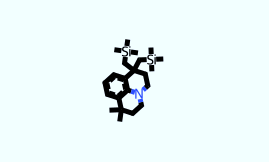 CC1(C)CCN2CCC(C[Si](C)(C)C)(C[Si](C)(C)C)c3cccc1c32